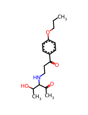 CCCOc1ccc(C(=O)CCNC(C(C)=O)C(C)O)cc1